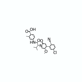 COc1cn(C(C(=O)Nc2ccc(C(=O)O)c(C)c2)C(C)C)c(=O)cc1-c1cc(Cl)ccc1C#N